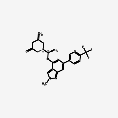 C=C1CC(=O)C[C@@H]([C@@H](C)Oc2nc(-c3ccc(C(F)(F)F)nc3)cc3nn(C)cc23)C1